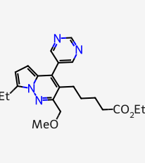 CCOC(=O)CCCCc1c(COC)nn2c(CC)ccc2c1-c1cncnc1